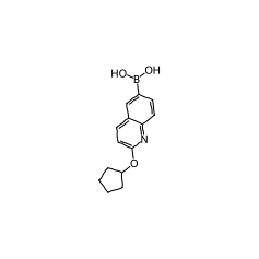 OB(O)c1ccc2nc(OC3CCCC3)ccc2c1